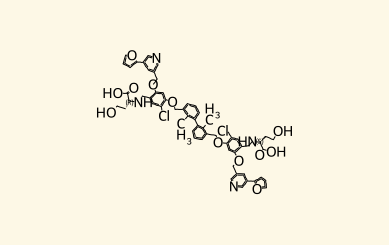 Cc1c(COc2cc(OCc3cncc(-c4ccco4)c3)c(CN[C@@H](CCO)C(=O)O)cc2Cl)cccc1-c1cccc(COc2cc(OCc3cncc(-c4ccco4)c3)c(CN[C@H](CCO)C(=O)O)cc2Cl)c1C